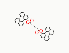 O=C(CCCCC(=O)Oc1ccc2cccc3c4cccc5cccc(c1c23)c54)Oc1ccc2cccc3c4cccc5cccc(c1c23)c54